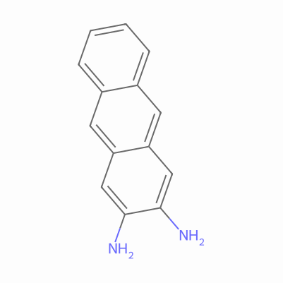 Nc1cc2cc3ccccc3cc2cc1N